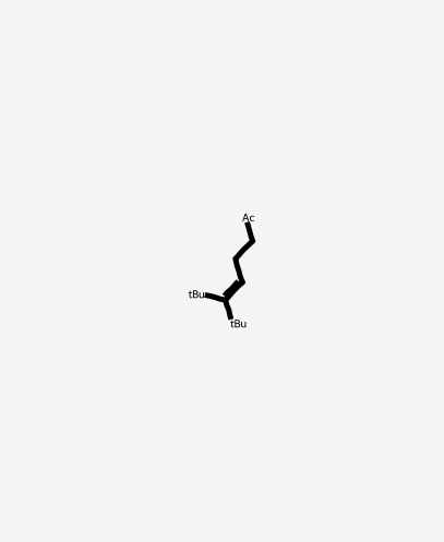 CC(=O)CCC=C(C(C)(C)C)C(C)(C)C